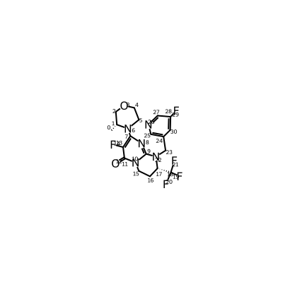 C[C@@H]1COCCN1c1nc2n(c(=O)c1F)CC[C@@H](C(F)(F)F)N2Cc1cncc(F)c1